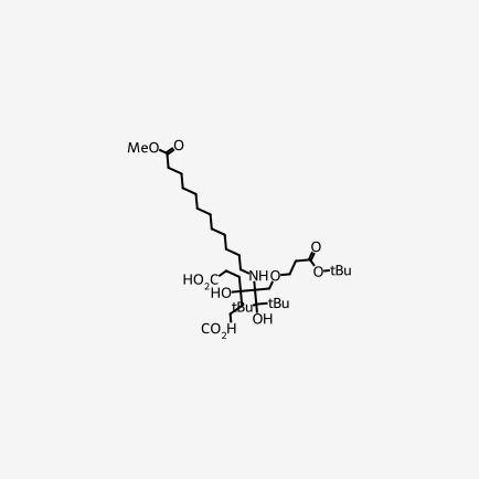 COC(=O)CCCCCCCCCCCNC(COCCC(=O)OC(C)(C)C)(C(O)(CCC(=O)O)CCC(=O)O)C(O)(C(C)(C)C)C(C)(C)C